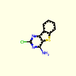 Nc1nc(Cl)nc2c1sc1ccccc12